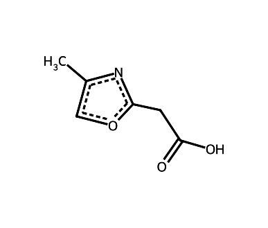 Cc1coc(CC(=O)O)n1